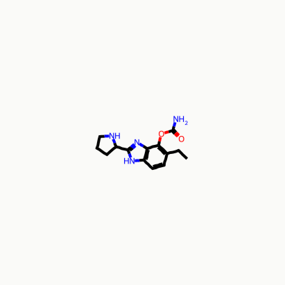 CCc1ccc2[nH]c(C3CCCN3)nc2c1OC(N)=O